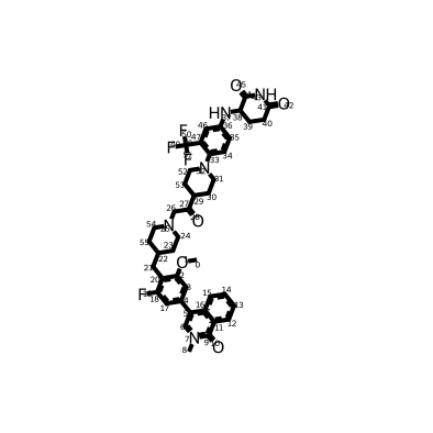 COc1cc(-c2cn(C)c(=O)c3ccccc23)cc(F)c1CC1CCN(CC(=O)C2CCN(c3ccc(NC4CCC(=O)NC4=O)cc3C(F)(F)F)CC2)CC1